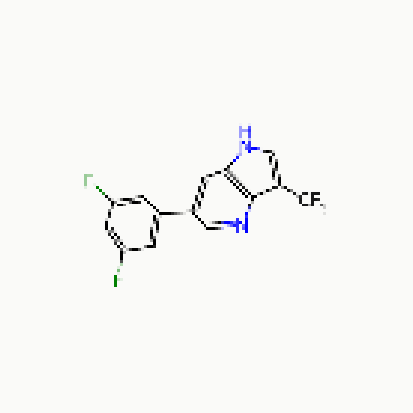 Fc1cc(F)cc(-c2cnc3c(C(F)(F)F)c[nH]c3c2)c1